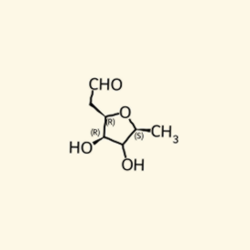 C[C@@H]1O[C@H](CC=O)[C@H](O)C1O